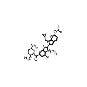 CC1CCC(N)CN1C(=O)c1cc(F)c2c(c1)nc(-c1cc3ccc(OC(F)F)nc3n1CC1CC1)n2C